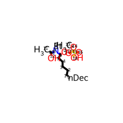 CCCCCCCCCCCCCCCC(=O)N(CC)C(C)O.COS(=O)(=O)O